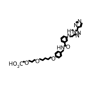 Cn1c(CNc2cccc(C(=O)NCc3ccc(OCCCCCOCCCOCC(=O)O)cc3)c2)nnc1-c1ccncn1